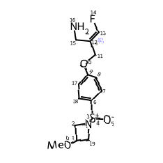 COC1CN([S+]([O-])c2ccc(OC/C(=C/F)CN)cc2)C1